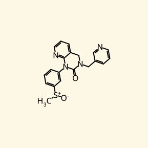 C[S+]([O-])c1cccc(N2C(=O)N(Cc3cccnc3)Cc3cccnc32)c1